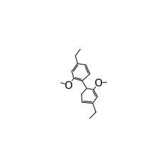 CCC1=CCC(c2ccc(CC)cc2OC)C(OC)=C1